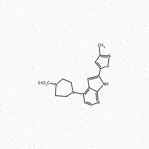 CCOC(=O)N1CCN(c2ccnc3[nH]c(-c4cc(C)ns4)cc23)CC1